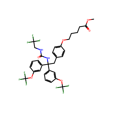 COC(=O)CCCCOc1ccc(CC(NC(=O)NCC(F)(F)F)(c2cccc(OC(F)(F)F)c2)c2cccc(OC(F)(F)F)c2)cc1